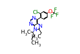 CCCC(C)n1c(CC)nc2c(-c3ccc(OC(F)(F)F)cc3Cl)ncnc21